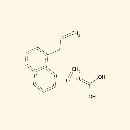 C=CCc1cccc2ccccc12.C=O.O=C(O)O